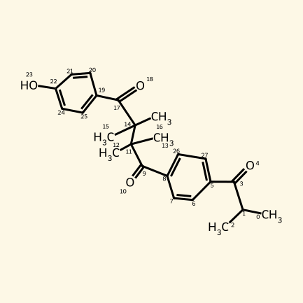 CC(C)C(=O)c1ccc(C(=O)C(C)(C)C(C)(C)C(=O)c2ccc(O)cc2)cc1